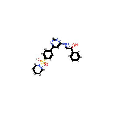 O=S(=O)(c1ccc(-c2cc(NCC(O)c3ccccc3)ncn2)cc1)N1CCCCC1